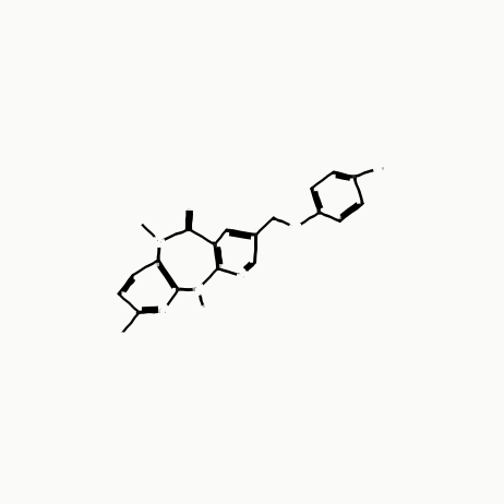 CCN1c2ncc(COc3ccc(O)cc3)cc2C(=O)N(C)c2ccc(Cl)nc21